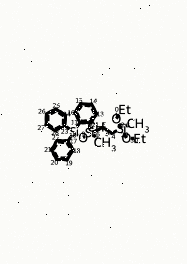 CCO[Si](C)(CC[Si](C)(C)O[Si](c1ccccc1)(c1ccccc1)c1ccccc1)OCC